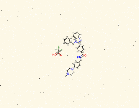 CN1CCN(c2ccc(CNC(=O)c3ccc(-c4nc5ccccc5n4Cc4ccccc4)cc3)cc2)CC1.O=C(O)C(F)(F)F